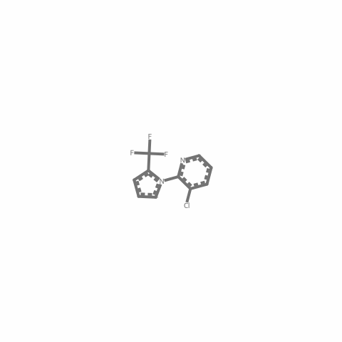 FC(F)(F)c1cc[c]n1-c1ncccc1Cl